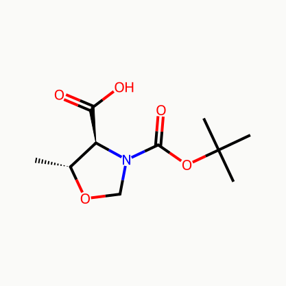 C[C@H]1OCN(C(=O)OC(C)(C)C)[C@@H]1C(=O)O